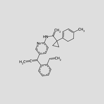 C=C=C(c1ccc(NC(=C)C2(C3=CC=C(C)CC3)CC2)nc1)c1ccccc1C=C